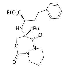 CCOC(=O)[C@@H](CCc1ccccc1)N[C@@]1(C(C)(C)C)CCC(=O)N2CCCCN2C1=O